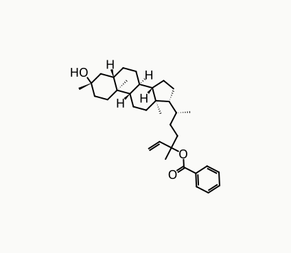 C=CC(C)(CC[C@@H](C)[C@H]1CC[C@H]2[C@@H]3CC[C@H]4C[C@@](C)(O)CC[C@]4(C)[C@H]3CC[C@]12C)OC(=O)c1ccccc1